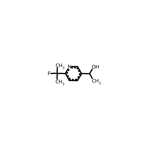 CC(O)c1ccc(C(C)(C)F)nc1